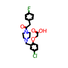 O=C(O)COc1ccc(Cl)cc1CN1CCN(C(=O)Cc2ccc(F)cc2)CC1